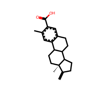 C=C1CCC2C3CCc4cc(C(=O)O)c(C)cc4C3CC[C@]12C